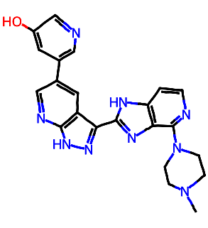 CN1CCN(c2nccc3[nH]c(-c4n[nH]c5ncc(-c6cncc(O)c6)cc45)nc23)CC1